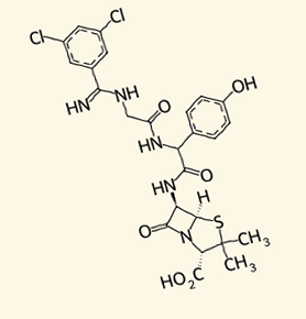 CC1(C)S[C@@H]2[C@H](NC(=O)C(NC(=O)CNC(=N)c3cc(Cl)cc(Cl)c3)c3ccc(O)cc3)C(=O)N2[C@H]1C(=O)O